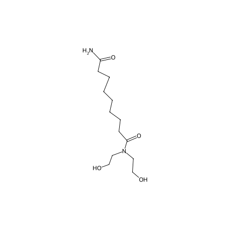 NC(=O)CCCCCCCC(=O)N(CCO)CCO